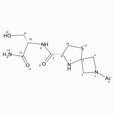 CC(=O)N1CC2(C1)N[C@H](C(=O)N[C@@H](CO)C(N)=O)CS2